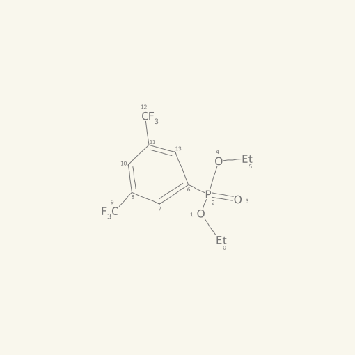 CCOP(=O)(OCC)c1cc(C(F)(F)F)cc(C(F)(F)F)c1